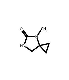 CN1C(=O)NCC12CC2